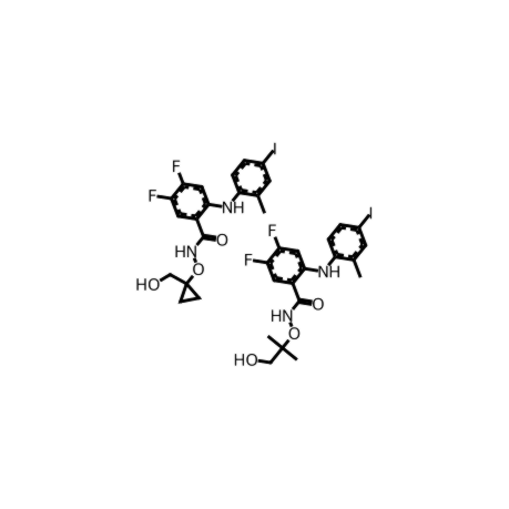 Cc1cc(I)ccc1Nc1cc(F)c(F)cc1C(=O)NOC(C)(C)CO.Cc1cc(I)ccc1Nc1cc(F)c(F)cc1C(=O)NOC1(CO)CC1